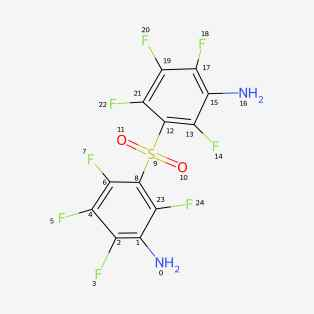 Nc1c(F)c(F)c(F)c(S(=O)(=O)c2c(F)c(N)c(F)c(F)c2F)c1F